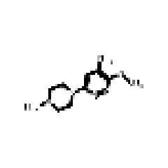 COc1nnc(N2CCN(C)CC2)cc1N